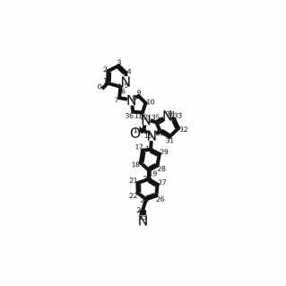 Cc1cccnc1CN1CCC(n2c(=O)n(-c3ccc(-c4ccc(C#N)cc4)cc3)c3cccnc32)C1